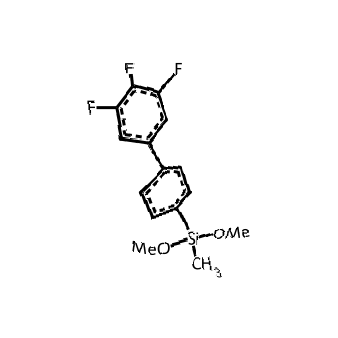 CO[Si](C)(OC)c1ccc(-c2cc(F)c(F)c(F)c2)cc1